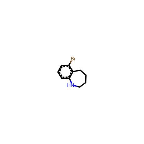 Brc1cccc2c1CCCCN2